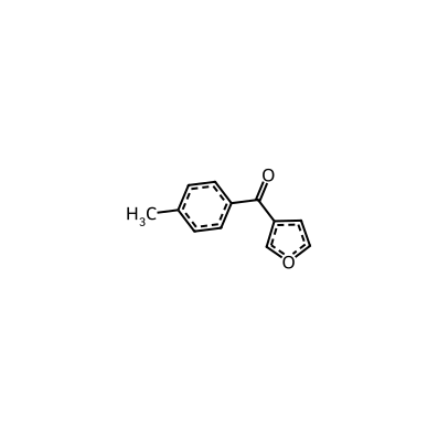 Cc1ccc(C(=O)c2ccoc2)cc1